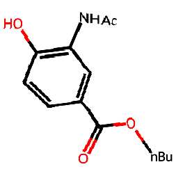 CCCCOC(=O)c1ccc(O)c(NC(C)=O)c1